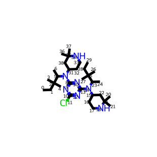 CCC(C)(C)C(C)N(c1nc(Cl)nc(N(C2CCNC(C)(C)C2)C(C)C(C)(C)CC)n1)C1CCNC(C)(C)C1